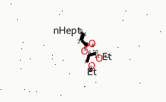 CCCCCCC/C=C/C(=O)OC(COCC)COCC